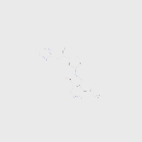 COC(=O)c1nccc2c1CN(c1cccc(C(C)Cc3nncn3C)c1)C2=O